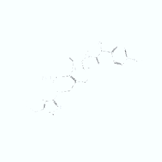 NC(C(=O)NC1C(=O)N2C(C(=O)O)=C(CSc3n[nH]c(CC(=O)O)n3)CS[C@@H]12)c1ccc([N+](=O)[O-])cc1